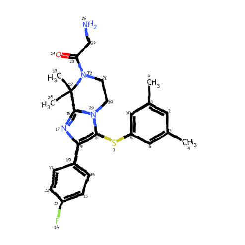 Cc1cc(C)cc(Sc2c(-c3ccc(F)cc3)nc3n2CCN(C(=O)CN)C3(C)C)c1